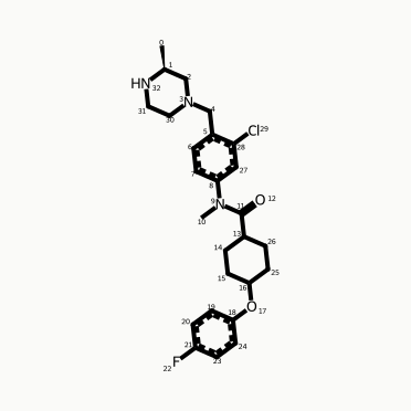 C[C@H]1CN(Cc2ccc(N(C)C(=O)C3CCC(Oc4ccc(F)cc4)CC3)cc2Cl)CCN1